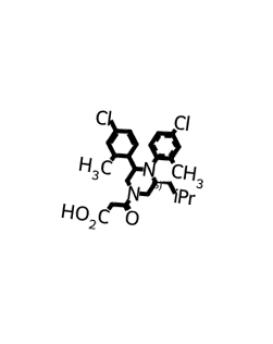 Cc1cc(Cl)ccc1N1C(C2C=CC(Cl)=CC2C)CN(C(=O)CC(=O)O)C[C@@H]1CC(C)C